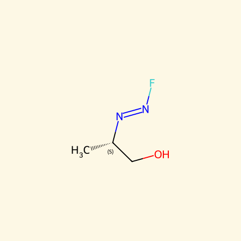 C[C@@H](CO)N=NF